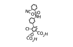 N#Cc1ccccc1S(=O)(=O)Nc1cccc(-c2sc(C(=O)O)c(OCC(=O)O)c2Cl)c1